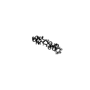 CCCCCCCCOc1ncc(-c2ccc(OC(=O)[C@H]3COC4(CCCCC4)O3)cc2)cn1